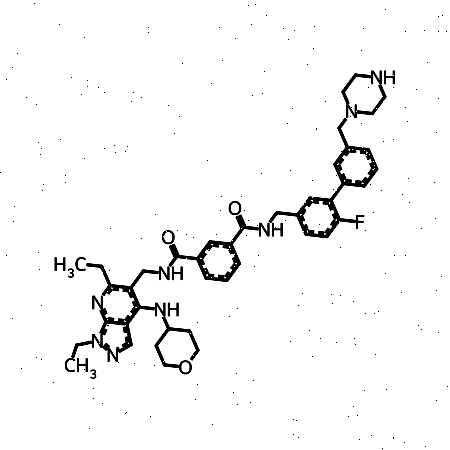 CCc1nc2c(cnn2CC)c(NC2CCOCC2)c1CNC(=O)c1cccc(C(=O)NCc2ccc(F)c(-c3cccc(CN4CCNCC4)c3)c2)c1